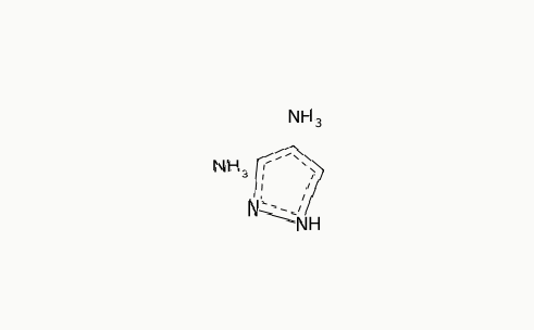 N.N.c1cn[nH]c1